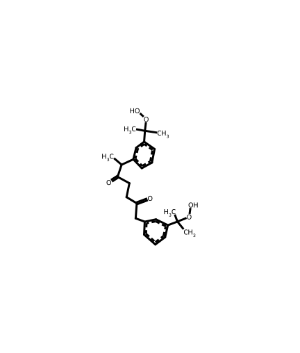 CC(C(=O)CCC(=O)Cc1cccc(C(C)(C)OO)c1)c1cccc(C(C)(C)OO)c1